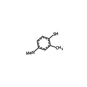 CNc1ccc(S)c(C)c1